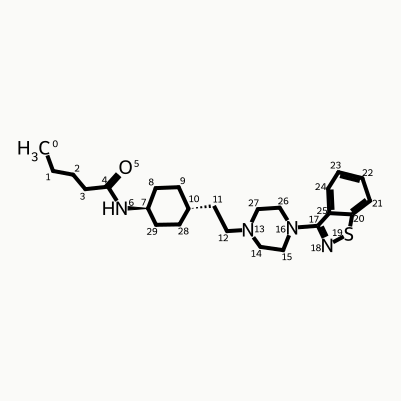 CCCCC(=O)N[C@H]1CC[C@H](CCN2CCN(c3nsc4ccccc34)CC2)CC1